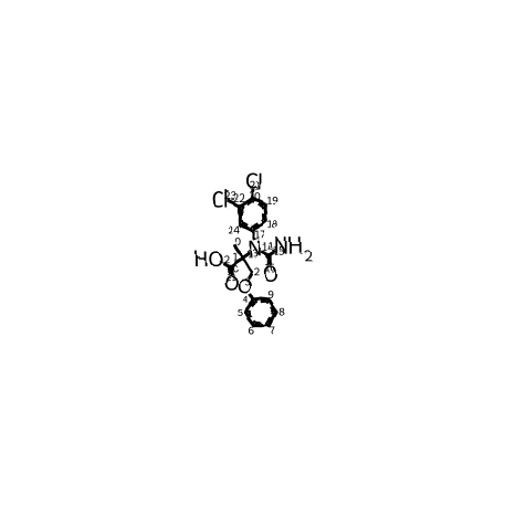 CC(COc1ccccc1)(C(=O)O)N(C(N)=O)c1ccc(Cl)c(Cl)c1